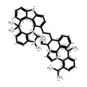 C=CC1C(CCc2ccc3oc4cccc5c4c3c2N2c3c(cccc3C5(C)C)N(C)C2C)c2ccccc2-c2n(-c3c(C(C)C)cccc3C(C)C)cc[n+]21